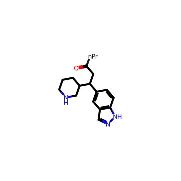 CCCC(=O)CC(c1ccc2[nH]ncc2c1)C1CCCNC1